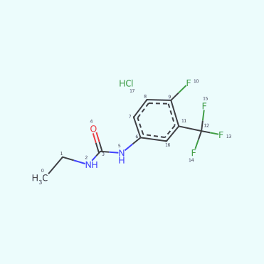 CCNC(=O)Nc1ccc(F)c(C(F)(F)F)c1.Cl